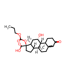 CCCOC(=O)O[C@]1(C(=O)O)CC[C@H]2[C@@H]3CCC4=CC(=O)CC[C@]4(C)[C@H]3[C@@H](O)C[C@@]21C